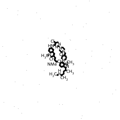 C=CNC(=C)CCC(C)c1nn(C)c2c(N3CCC(CN4CCN(c5ncc(Cl)c(Nc6ccc7c(c6)C=C(CCC(=C)NC)C(=C)N7C)n5)CC4C)CC3)cccc12